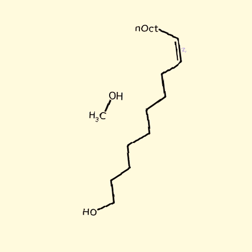 CCCCCCCC/C=C\CCCCCCCCO.CO